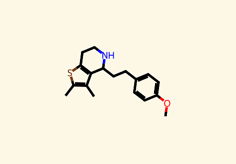 COc1ccc(CCC2NCCc3sc(C)c(C)c32)cc1